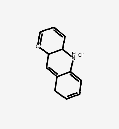 [C+]1=CC=CC2NC3=CC=CCC3=CC12.[Cl-]